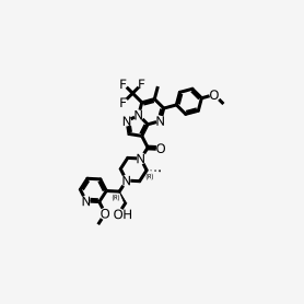 COc1ccc(-c2nc3c(C(=O)N4CCN([C@@H](CO)c5cccnc5OC)C[C@H]4C)cnn3c(C(F)(F)F)c2C)cc1